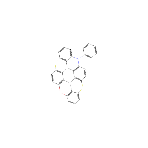 c1ccc(N2c3cccc4c3B3c5c(ccc6c5B5c7c(cccc7Sc7ccc2c3c75)O6)S4)cc1